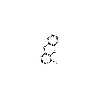 Clc1cc[c]c(Oc2cccnc2)c1Cl